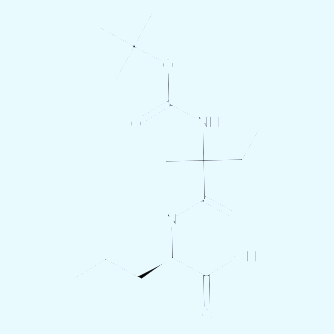 CCC[C@@H](NC(=O)C(C)(CC)NC(=O)OC(C)(C)C)C(=O)O